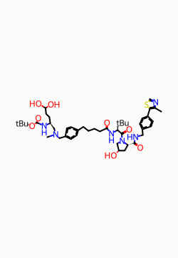 Cc1ncsc1-c1ccc(CNC(=O)[C@@H]2C[C@@H](O)CN2C(=O)[C@@H](NC(=O)CCCCc2ccc(CN(C)C[C@H](CCC(O)O)NC(=O)OC(C)(C)C)cc2)C(C)(C)C)cc1